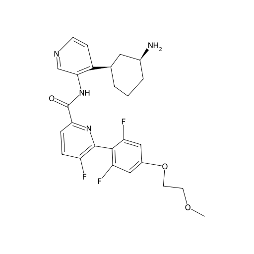 COCCOc1cc(F)c(-c2nc(C(=O)Nc3cnccc3[C@@H]3CCC[C@H](N)C3)ccc2F)c(F)c1